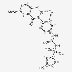 CSc1ccc2c(c1)C(=O)N(c1ccc(NC(=O)NS(=O)(=O)c3ccc(Cl)s3)cc1F)C(=O)C2